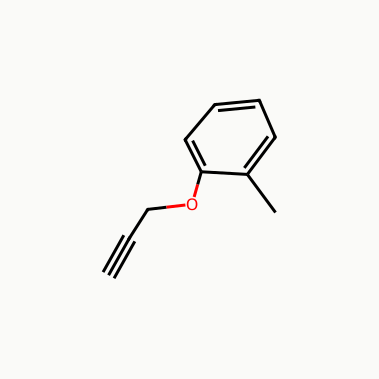 C#CCOc1ccccc1C